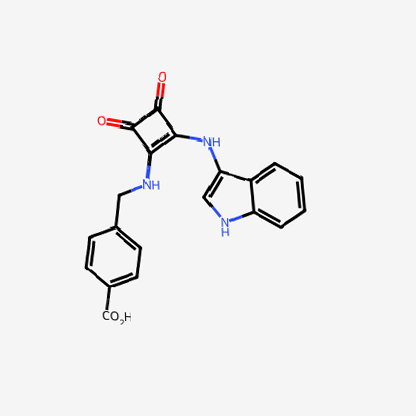 O=C(O)c1ccc(CNc2c(Nc3c[nH]c4ccccc34)c(=O)c2=O)cc1